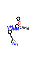 COc1cc(Nc2ncnc3ccc(C#CC4=CCNCC4)cc23)ccc1Oc1ccccc1